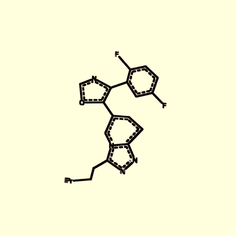 CC(C)CCc1nnc2ccc(-c3ocnc3-c3cc(F)ccc3F)cn12